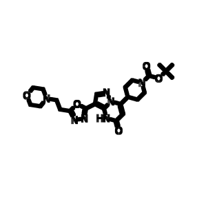 CC(C)(C)OC(=O)N1CCC(c2cc(=O)[nH]c3c(-c4nnc(CCN5CCOCC5)o4)cnn23)CC1